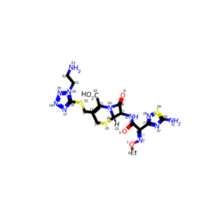 CCO/N=C(\C(=O)NC1C(=O)N2C(C(=O)O)=C(CSc3nnnn3CCN)CS[C@H]12)c1nsc(N)n1